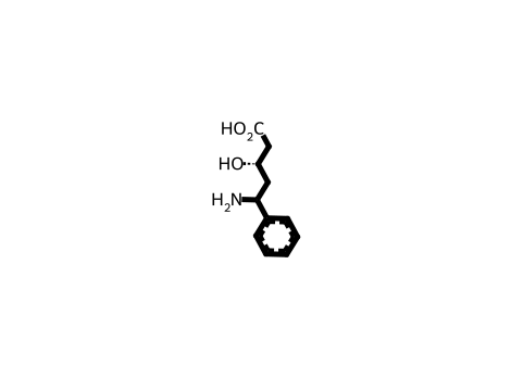 NC(C[C@H](O)CC(=O)O)c1ccccc1